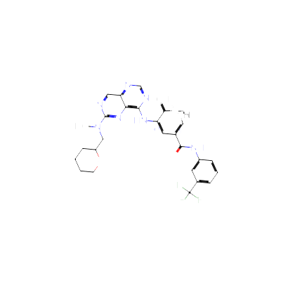 C=C(C)/C(=C\C(=C/C)C(=O)Nc1cccc(C(F)(F)F)c1)Nc1ncnc2cnc(N(C)CC3CCCCO3)nc12